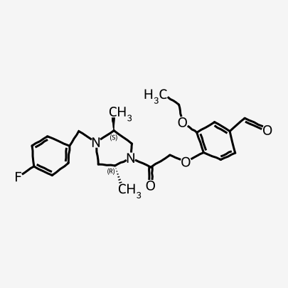 CCOc1cc(C=O)ccc1OCC(=O)N1C[C@H](C)N(Cc2ccc(F)cc2)C[C@H]1C